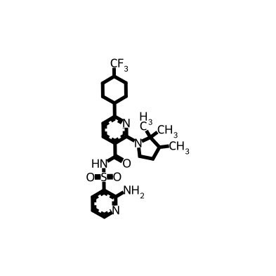 CC1CCN(c2nc(C3CCC(C(F)(F)F)CC3)ccc2C(=O)NS(=O)(=O)c2cccnc2N)C1(C)C